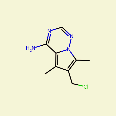 Cc1c(CCl)c(C)n2ncnc(N)c12